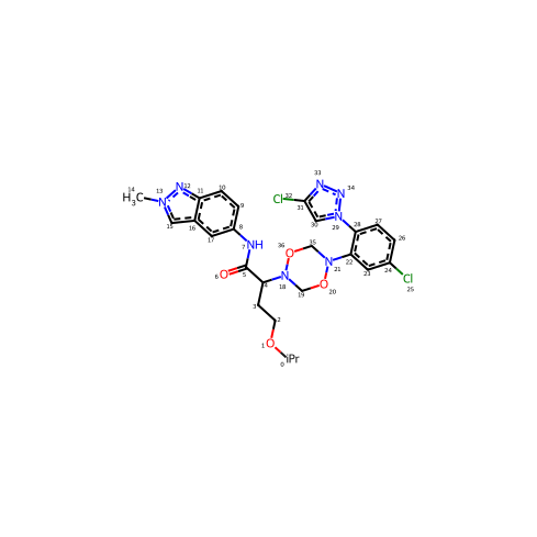 CC(C)OCCC(C(=O)Nc1ccc2nn(C)cc2c1)N1CON(c2cc(Cl)ccc2-n2cc(Cl)nn2)CO1